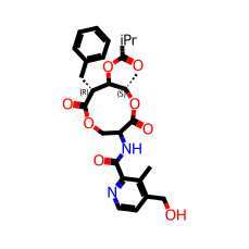 Cc1c(CO)ccnc1C(=O)NC1COC(=O)[C@H](Cc2ccccc2)C(OC(=O)C(C)C)[C@H](C)OC1=O